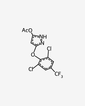 CC(=O)Oc1cc(Oc2c(Cl)cc(C(F)(F)F)cc2Cl)n[nH]1